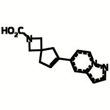 O=C(O)N1CC2(CC=C(c3ccn4nccc4c3)C2)C1